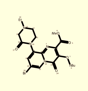 CCCCOc1c(C(=O)OC)nc2c(N3CCN(CC)CC3=O)cc(Br)cn2c1=O